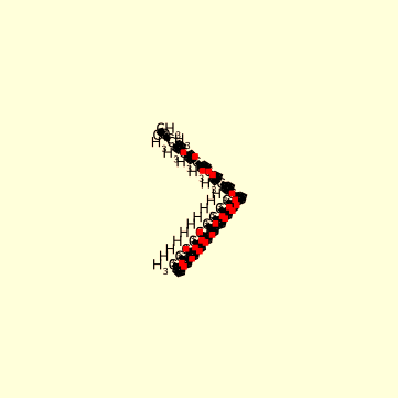 CCOC(C)=O.Cc1ccccc1.Cc1ccccc1.Cc1ccccc1.Cc1ccccc1.Cc1ccccc1.Cc1ccccc1.Cc1ccccc1.Cc1ccccc1.Cc1ccccc1.Cc1ccccc1.Cc1ccccc1.Cc1ccccc1.Cc1ccccc1.Cc1ccccc1.Cc1ccccc1